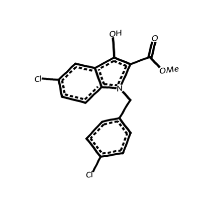 COC(=O)c1c(O)c2cc(Cl)ccc2n1Cc1ccc(Cl)cc1